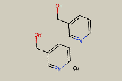 OCc1cccnc1.OCc1cccnc1.[Cu]